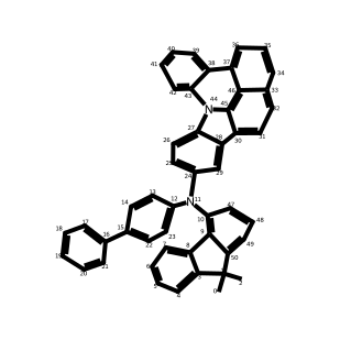 CC1(C)c2ccccc2-c2c(N(c3ccc(-c4ccccc4)cc3)c3ccc4c(c3)c3ccc5cccc6c7ccccc7n4c3c56)cccc21